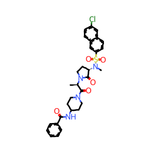 C[C@H](C(=O)N1CCC(NC(=O)c2ccccc2)CC1)N1CC[C@H](N(C)S(=O)(=O)c2ccc3cc(Cl)ccc3c2)C1=O